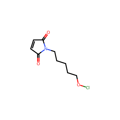 O=C1C=CC(=O)N1CCCCCOCl